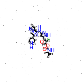 CC1(NC(=O)O[C@H]2CO[C@@H](c3cc(Nc4nc(C5CCNCC5)cn5nccc45)n[nH]3)[C@@H]2F)CC1